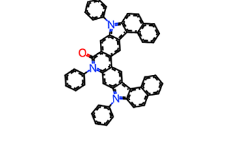 O=c1c2cc3c(cc2c2cc4c5c6ccccc6ccc5n(-c5ccccc5)c4cc2n1-c1ccccc1)c1c2ccccc2ccc1n3-c1ccccc1